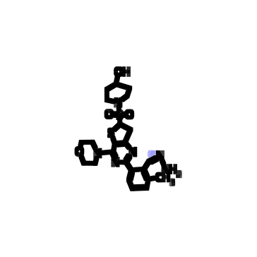 Cc1cccc(-c2nc3c(c(N4CCOCC4)n2)SC(S(=O)(=O)N2CCC(O)CC2)C3)c1/C=N\N